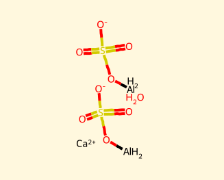 O.O=S(=O)([O-])[O][AlH2].O=S(=O)([O-])[O][AlH2].[Ca+2]